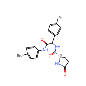 CC(C)c1ccc(C(NC(=O)[C@@H]2CCC(=O)N2)C(=O)Nc2ccc(C(C)(C)C)cc2)cc1